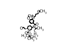 COCCCOc1cc(C(=O)N(C(C)C)C2CC[C@H](CC=O)N(C(=O)OC(C)(C)C)C2)ccc1OC